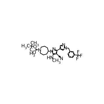 CNc1c(C#N)c(-c2cnn(Cc3cccc(C(F)(F)F)c3)c2)nn1C1CCCN(C(=O)OC(C)(C)C)CCC1